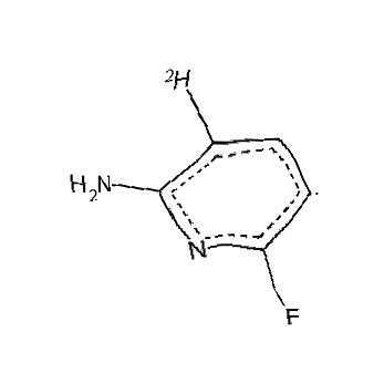 [2H]c1c[c]c(F)nc1N